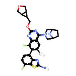 Nc1nc2c(-c3c(C(F)(F)F)cc4c(N5CC6CCC(C5)N6)nc(OCC5C6COCC65)nc4c3F)ccc(F)c2s1